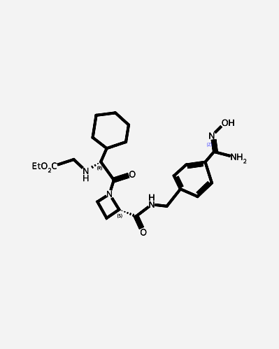 CCOC(=O)CN[C@@H](C(=O)N1CC[C@H]1C(=O)NCc1ccc(/C(N)=N/O)cc1)C1CCCCC1